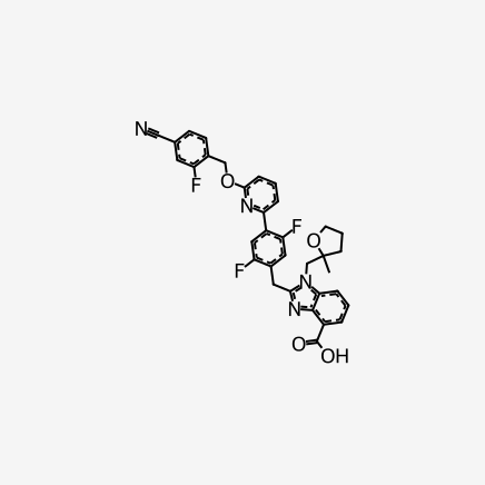 CC1(Cn2c(Cc3cc(F)c(-c4cccc(OCc5ccc(C#N)cc5F)n4)cc3F)nc3c(C(=O)O)cccc32)CCCO1